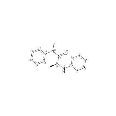 C[C@H](Nc1ccccc1)C(=O)N(C)c1ccccc1